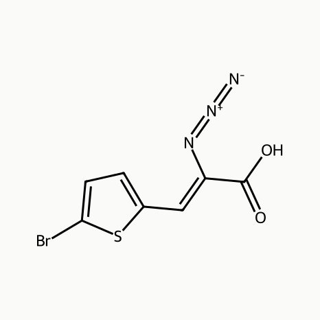 [N-]=[N+]=N/C(=C\c1ccc(Br)s1)C(=O)O